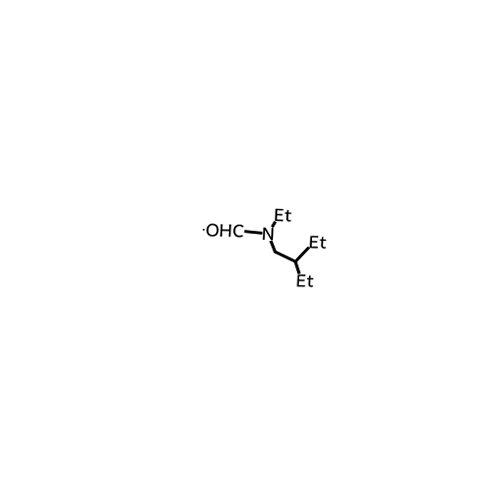 CCC(CC)CN([C]=O)CC